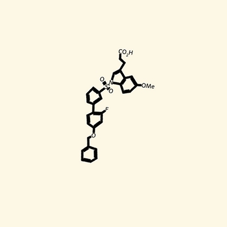 COc1ccc2c(c1)c(CCC(=O)O)cn2S(=O)(=O)c1cccc(-c2ccc(OCc3ccccc3)cc2F)c1